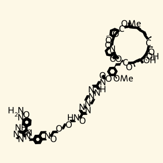 CO[C@H]1CC2CC[C@@H](C)C(O2)C(=O)C(=O)N2CCCC[C@H]2C(=O)O[C@H](CC[C@@H]2CC[C@@H](OC(=O)NCc3cnc(N4CCN(c5ncc(C(=O)NCCOCCOCCC(=O)N6CCc7cc(Cn8nc(-c9ccc%10oc(N)nc%10c9)c9c(N)ncnc98)ccc7C6)cn5)CC4)nc3)[C@H](OC)C2)CC(=O)[C@H](C)/C=C(\C)[C@@H](O)[C@@H](O)C(=O)[C@H](C)C[C@H](C)/C=C/C=C/C=C/1C